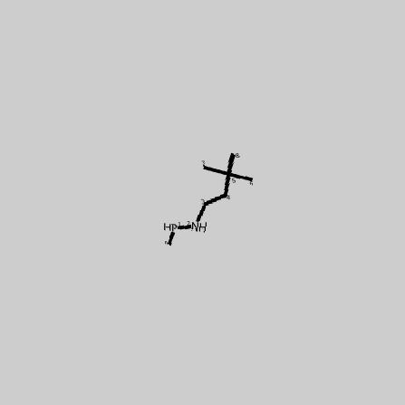 CPNCCC(C)(C)C